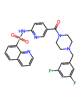 O=C(c1ccc(NS(=O)(=O)c2cccc3cccnc23)nc1)N1CCN(Cc2cc(F)cc(F)c2)CC1